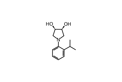 CC(C)c1ccccc1N1C[C@@H](O)[C@@H](O)C1